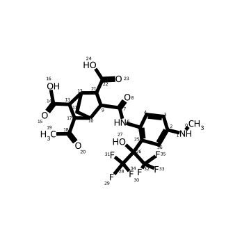 CNc1ccc(NC(=O)C2C3CC(C(C(=O)O)C3C(C)=O)C2C(=O)O)c(C(O)(C(F)(F)F)C(F)(F)F)c1